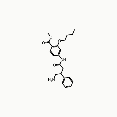 CCCCOc1cc(NC(=O)CC(CN)c2ccccc2)ccc1C(=O)OC